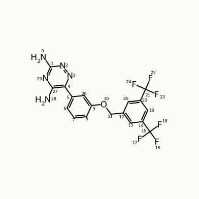 Nc1nnc(-c2cccc(OCc3cc(C(F)(F)F)cc(C(F)(F)F)c3)c2)c(N)n1